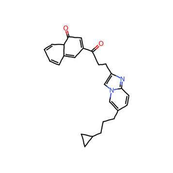 O=C(CCc1cn2cc(CCCC3CC3)ccc2n1)C1=CC(=O)C2C=CC=CC2=C1